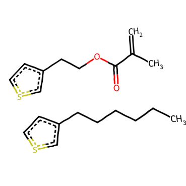 C=C(C)C(=O)OCCc1ccsc1.CCCCCCc1ccsc1